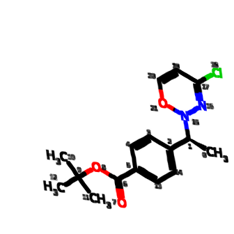 C[C@@H](c1ccc(C(=O)OC(C)(C)C)cc1)N1N=C(Cl)C=CO1